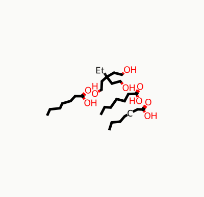 CCC(CCO)(CCO)CCO.CCCCCCC(=O)O.CCCCCCC(=O)O.CCCCCCC(=O)O